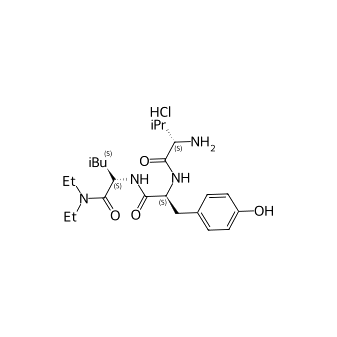 CC[C@H](C)[C@H](NC(=O)[C@H](Cc1ccc(O)cc1)NC(=O)[C@@H](N)C(C)C)C(=O)N(CC)CC.Cl